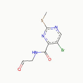 CSc1ncc(Br)c(C(=O)NCC=O)n1